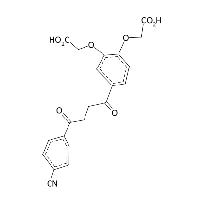 N#Cc1ccc(C(=O)CCC(=O)c2ccc(OCC(=O)O)c(OCC(=O)O)c2)cc1